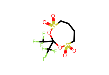 O=S1(=O)CCCCS(=O)(=O)OC(C(F)(F)F)(C(F)(F)F)O1